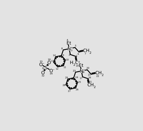 C=CC[N+](CC)(CC=C)Cc1ccccc1.C=CC[N+](CC)(CC=C)Cc1ccccc1.O=S(=O)([O-])[O-]